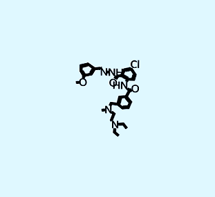 CCN(CC)CCN(C)Cc1cccc(C(=O)Nc2ccc(Cl)cc2C(=O)NN=Cc2cccc(OC)c2)c1